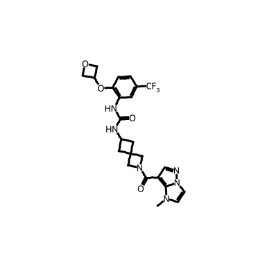 Cn1ccn2ncc(C(=O)N3CC4(CC(NC(=O)Nc5cc(C(F)(F)F)ccc5OC5COC5)C4)C3)c12